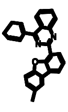 Cc1ccc2oc3c(-c4nc(C5=CCCC=C5)c5ccccc5n4)cccc3c2c1